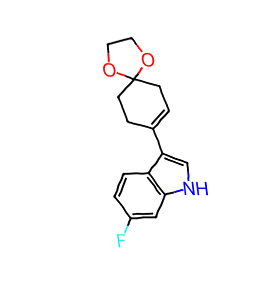 Fc1ccc2c(C3=CCC4(CC3)OCCO4)c[nH]c2c1